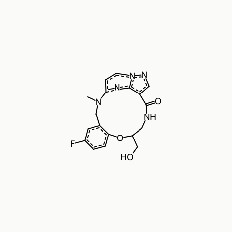 CN1Cc2cc(F)ccc2OC(CO)CNC(=O)c2cnn3ccc1nc23